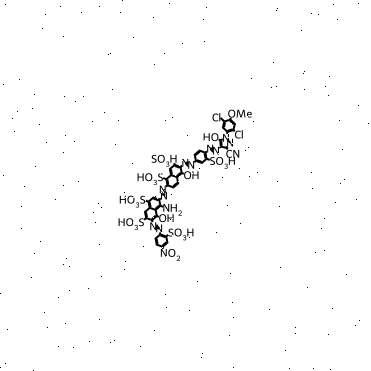 COc1cc(Cl)c(-n2nc(C#N)c(N=Nc3ccc(N=Nc4c(S(=O)(=O)O)cc5c(S(=O)(=O)O)c(N=Nc6cc(S(=O)(=O)O)c7cc(S(=O)(=O)O)c(N=Nc8ccc([N+](=O)[O-])cc8S(=O)(=O)O)c(O)c7c6N)ccc5c4O)cc3S(=O)(=O)O)c2O)cc1Cl